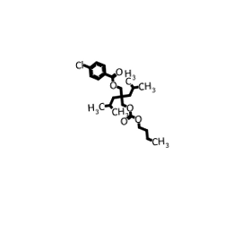 CCCCOC(=O)OCC(COC(=O)c1ccc(Cl)cc1)(CC(C)C)CC(C)C